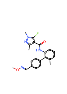 CO/N=C/c1ccc(-c2c(C)cccc2NC(=O)c2c(C)nn(C)c2F)cc1